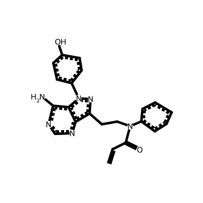 C=CC(=O)N(CCc1nn(-c2ccc(O)cc2)c2c(N)ncnc12)c1ccccc1